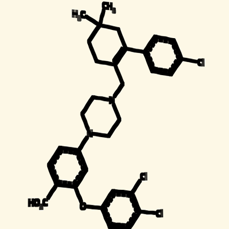 CC1(C)CCC(CN2CCN(c3ccc(C(=O)O)c(Oc4ccc(Cl)c(Cl)c4)c3)CC2)=C(c2ccc(Cl)cc2)C1